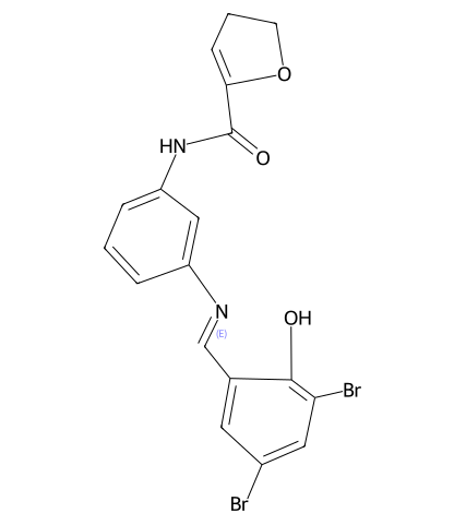 O=C(Nc1cccc(/N=C/c2cc(Br)cc(Br)c2O)c1)C1=CCCO1